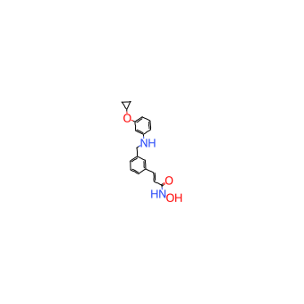 O=C(/C=C/c1cccc(CNc2cccc(OC3CC3)c2)c1)NO